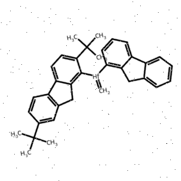 [CH2]=[Hf]([c]1cccc2c1Cc1ccccc1-2)[c]1c(C(C)(C)C)ccc2c1Cc1cc(C(C)(C)C)ccc1-2